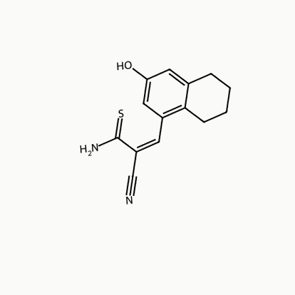 N#C/C(=C/c1cc(O)cc2c1CCCC2)C(N)=S